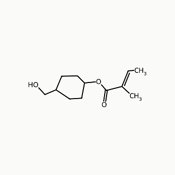 CC=C(C)C(=O)OC1CCC(CO)CC1